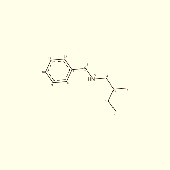 CCC(C)CNSc1ccccc1